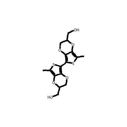 Cc1sc(-c2sc(C)c3c2OCC(CO)O3)c2c1OC(CO)CO2